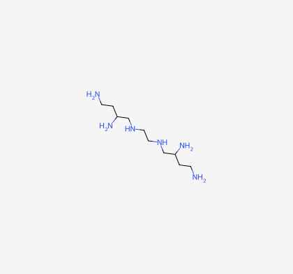 NCCC(N)CNCCNCC(N)CCN